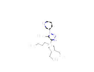 CCC[CH2][Sn]([CH2]CCC)([CH2]CCC)[c]1nnn(-c2cccnc2)c1C